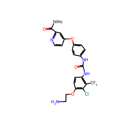 CNC(=O)c1cc(Oc2ccc(NC(=O)Nc3ccc(OCCN)c(Cl)c3C(F)(F)F)cc2)ccn1